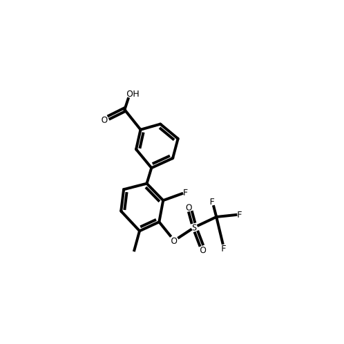 Cc1ccc(-c2cccc(C(=O)O)c2)c(F)c1OS(=O)(=O)C(F)(F)F